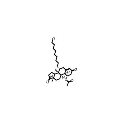 CC(=O)O[C@H]1CC(=O)C=C2C[C@@H](CCCCCCCCCCl)[C@@H]3[C@H](CC[C@]4(C)C(=O)CC[C@@H]34)[C@H]21